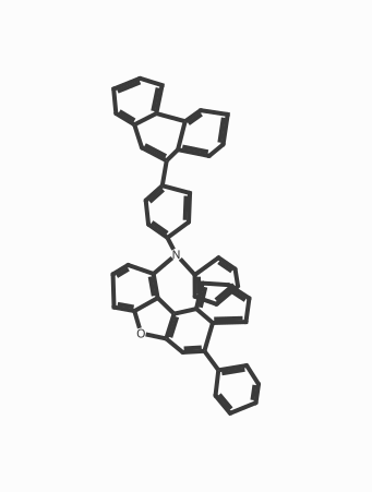 c1ccc(-c2cc3oc4cccc(N(c5ccccc5)c5ccc(-c6cc7ccccc7c7ccccc67)cc5)c4c3c3ccccc23)cc1